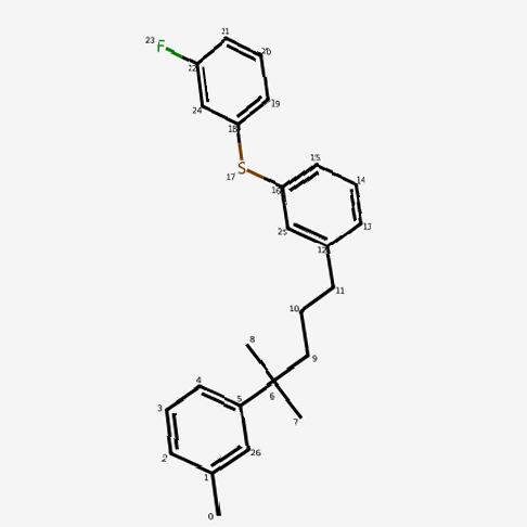 Cc1cccc(C(C)(C)CCCc2cccc(Sc3cccc(F)c3)c2)c1